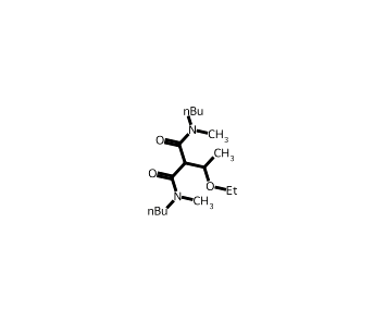 CCCCN(C)C(=O)C(C(=O)N(C)CCCC)C(C)OCC